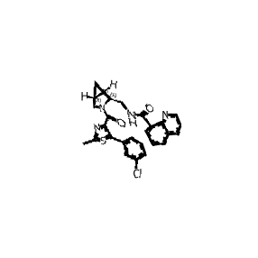 Cc1nc(C(=O)N2C[C@@H]3C[C@@H]3[C@H]2CNC(=O)c2cccc3cccnc23)c(-c2cccc(Cl)c2)s1